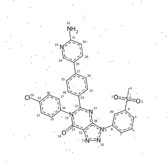 CS(=O)(=O)c1cccc(-n2nnc3c(=O)n(-c4ccc(Cl)cc4)c(-c4ccc(-c5ccc(N)nc5)cc4)nc32)c1